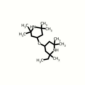 CCC1(C)CC(OC2CC(C)(C)NC(C)(C)C2)CC(C)(C)N1